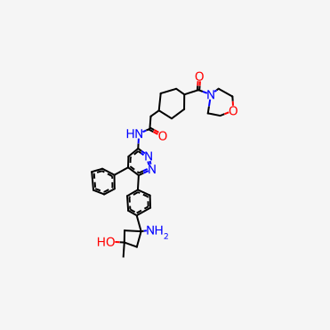 CC1(O)CC(N)(c2ccc(-c3nnc(NC(=O)CC4CCC(C(=O)N5CCOCC5)CC4)cc3-c3ccccc3)cc2)C1